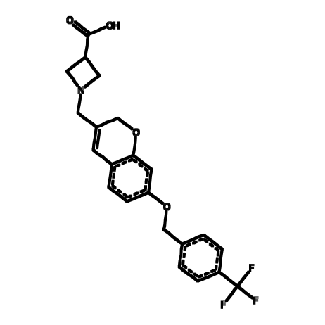 O=C(O)C1CN(CC2=Cc3ccc(OCc4ccc(C(F)(F)F)cc4)cc3OC2)C1